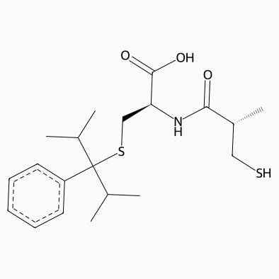 CC(C)C(SC[C@H](NC(=O)[C@H](C)CS)C(=O)O)(c1ccccc1)C(C)C